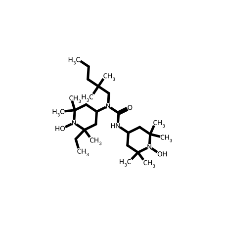 CCCC(C)(C)CN(C(=O)NC1CC(C)(C)N(O)C(C)(C)C1)C1CC(C)(C)N(O)C(C)(CC)C1